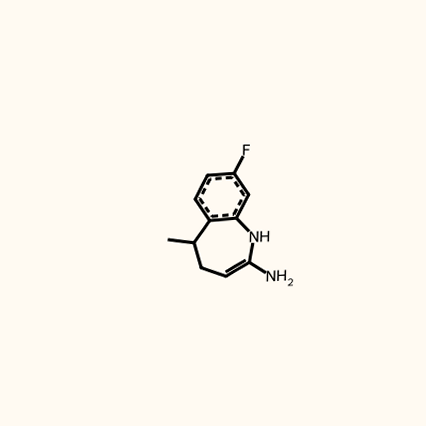 CC1CC=C(N)Nc2cc(F)ccc21